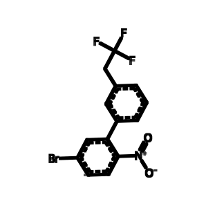 O=[N+]([O-])c1c[c]c(Br)cc1-c1cccc(CC(F)(F)F)c1